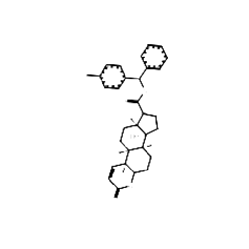 C[C@]12C=CC(=O)NC1CC[C@@H]1[C@H]2CC[C@]2(C)C(C(=O)NC(c3ccccc3)c3ccc(Cl)cc3)CC[C@@H]12